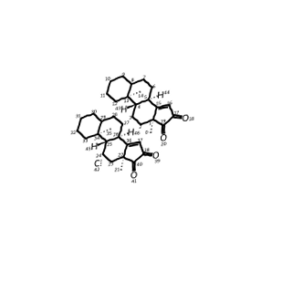 C[C@]12CC[C@H]3[C@@H](CCC4CCCC[C@@]43C)C1=CC(=O)C2=O.C[C@]12CC[C@H]3[C@@H](CCC4CCCC[C@@]43C)C1=CC(=O)C2=O.[C]